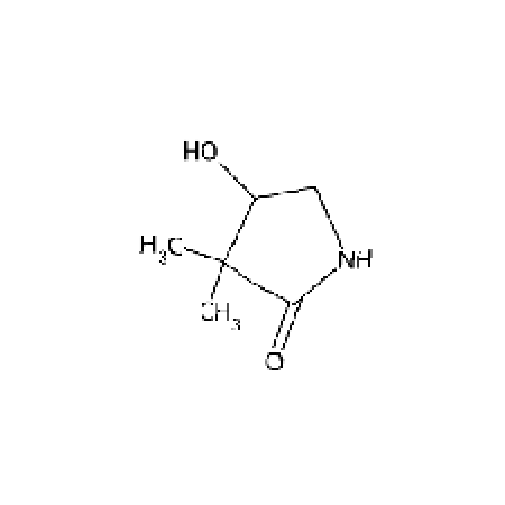 CC1(C)C(=O)NCC1O